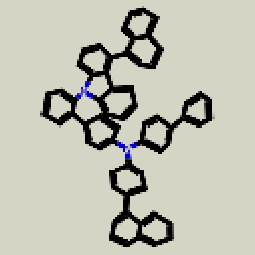 c1ccc(-c2ccc(N(c3ccc(-c4ccccc4-n4c5ccccc5c5c(-c6cccc7ccccc67)cccc54)cc3)c3ccc(-c4cccc5ccccc45)cc3)cc2)cc1